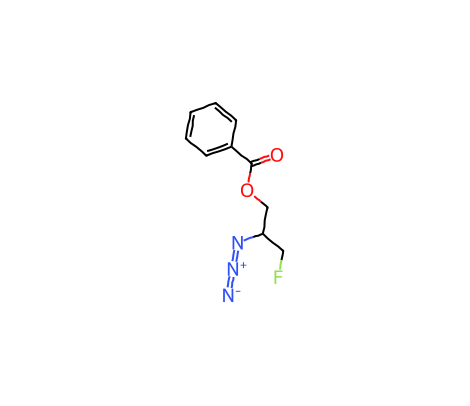 [N-]=[N+]=NC(CF)COC(=O)c1ccccc1